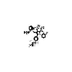 CCOC(=O)N(Cc1c(F)cccc1F)c1sc(-c2ccc(NC(=O)NOC)cc2)c(CC)c1C(=O)O.CNCc1ccccc1